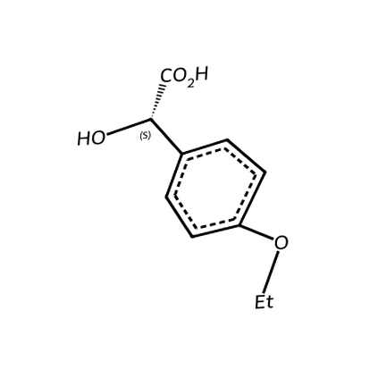 CCOc1ccc([C@H](O)C(=O)O)cc1